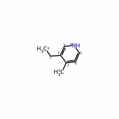 CCC1=CNC=C=C1C